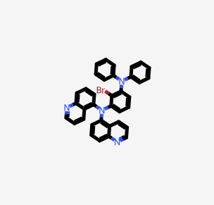 Brc1c(N(c2ccccc2)c2ccccc2)cccc1N(c1cccc2ncccc12)c1cccc2ncccc12